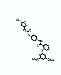 COc1cc(OC)nc(Oc2ccccc2C(=O)Nc2ccc(CC(=O)Nc3cc(C(C)(C)C)on3)cc2)n1